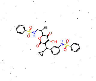 CCC(CNS(=O)(=O)c1ccccc1)C1OC(=O)C(C(c2cccc(NS(=O)(=O)c3ccccc3)c2)C2CC2)=C(O)C1=O